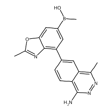 CB(O)c1cc(-c2ccc3c(N)nnc(C)c3c2)c2nc(C)oc2c1